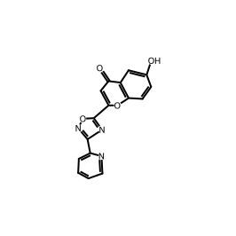 O=c1cc(-c2nc(-c3ccccn3)no2)oc2ccc(O)cc12